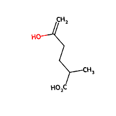 C=C(O)CCC(C)C(=O)O